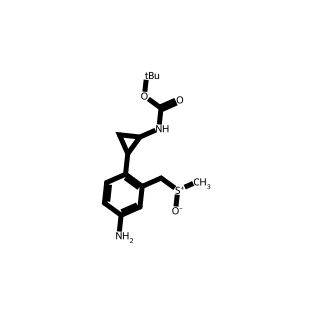 C[S+]([O-])Cc1cc(N)ccc1C1CC1NC(=O)OC(C)(C)C